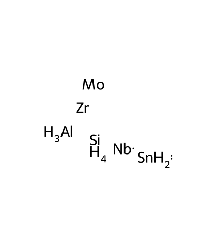 [AlH3].[Mo].[Nb].[SiH4].[SnH2].[Zr]